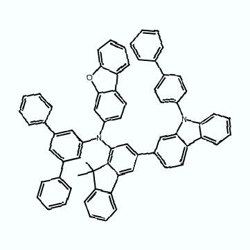 CC1(C)c2ccccc2-c2cc(-c3ccc4c5ccccc5n(-c5ccc(-c6ccccc6)cc5)c4c3)cc(N(c3cc(-c4ccccc4)cc(-c4ccccc4)c3)c3ccc4c(c3)oc3ccccc34)c21